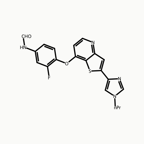 CCCn1cnc(-c2cc3nccc(Oc4ccc(NC=O)cc4F)c3s2)c1